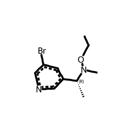 CCON(C)[C@H](C)c1cncc(Br)c1